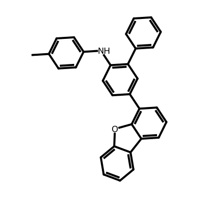 Cc1ccc(Nc2ccc(-c3cccc4c3oc3ccccc34)cc2-c2ccccc2)cc1